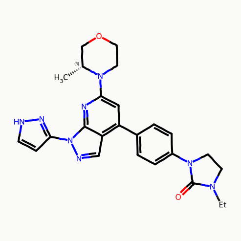 CCN1CCN(c2ccc(-c3cc(N4CCOC[C@H]4C)nc4c3cnn4-c3cc[nH]n3)cc2)C1=O